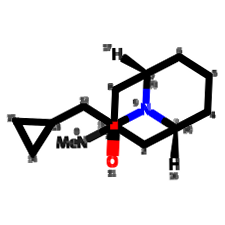 CNC1C[C@H]2CCC[C@@H](C1)N2C(=O)CC1CC1